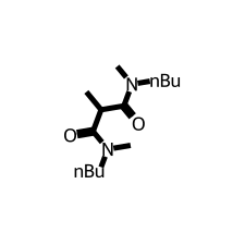 CCCCN(C)C(=O)C(C)C(=O)N(C)CCCC